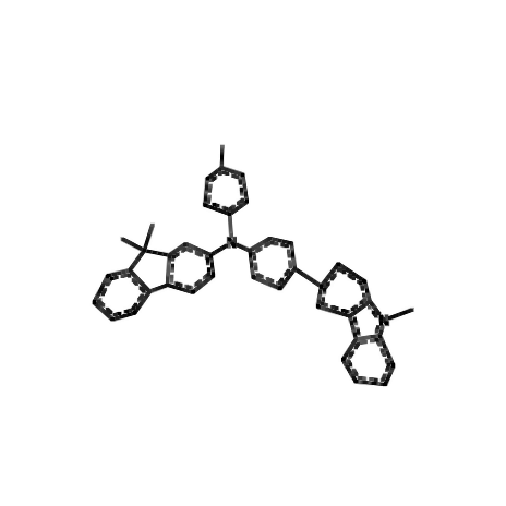 Cc1ccc(N(c2ccc(-c3ccc4c(c3)c3ccccc3n4C)cc2)c2ccc3c(c2)C(C)(C)c2ccccc2-3)cc1